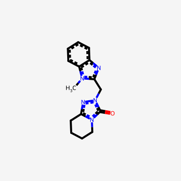 Cn1c(Cn2nc3n(c2=O)CCCC3)nc2ccccc21